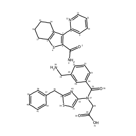 NC(=O)c1sc2c(c1-c1ccccn1)CCCC2.NCc1cccc(C(=O)N(CC(=O)O)c2csc(Cc3ccccc3)n2)c1